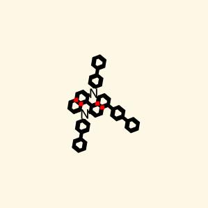 c1ccc(-c2ccc(-c3ccc(N(c4ccc(-c5ccccc5)cc4)c4ccccc4-c4ccccc4N(c4ccccc4)c4ccc(-c5ccccc5)cc4)cc3)cc2)cc1